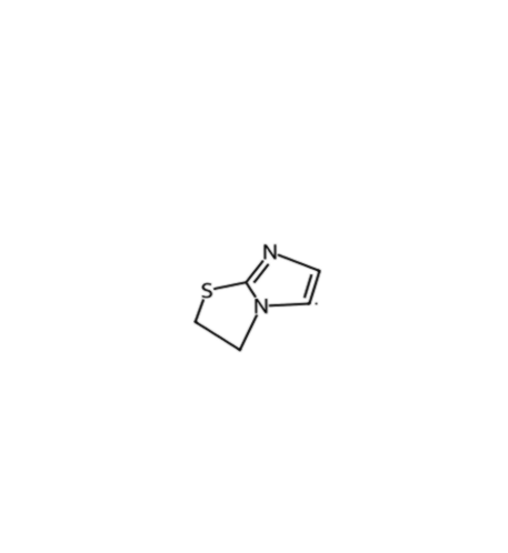 [c]1cnc2n1CCS2